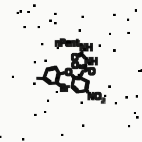 CCCCCNC(=O)NS(=O)(=O)c1cc([N+](=O)[O-])ccc1Oc1ccc(C)cc1Br